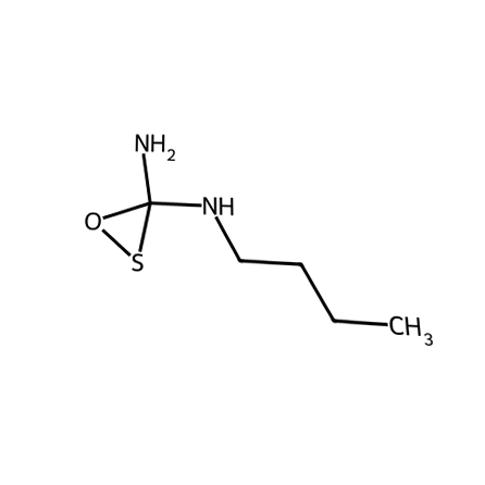 CCCCNC1(N)OS1